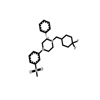 CS(=O)(=O)c1cccc(N2CCN(CC3CCC(F)(F)CC3)[C@@H](c3ccccc3)C2)c1